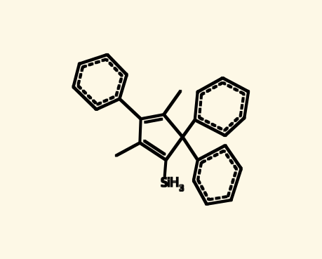 CC1=C([SiH3])C(c2ccccc2)(c2ccccc2)C(C)=C1c1ccccc1